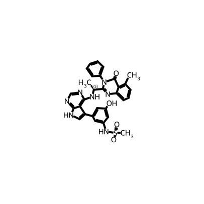 Cc1cccc2nc([C@H](C)Nc3ncnc4[nH]cc(-c5cc(O)cc(NS(C)(=O)=O)c5)c34)n(-c3ccccc3)c(=O)c12